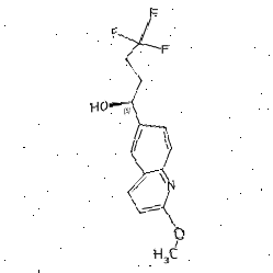 COc1ccc2cc([C@@H](O)CCC(F)(F)F)ccc2n1